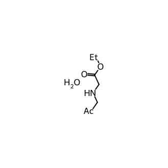 CCOC(=O)CNCC(C)=O.O